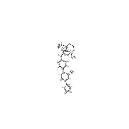 C[C@]12CCC[C@](C)(N1)[C@@H](F)[C@H](Oc1ncc(-c3ccc(-n4ccnc4)cc3O)nn1)C2